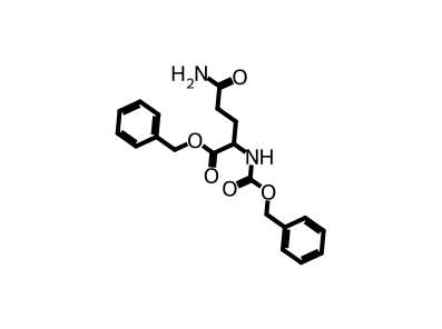 NC(=O)CCC(NC(=O)OCc1ccccc1)C(=O)OCc1ccccc1